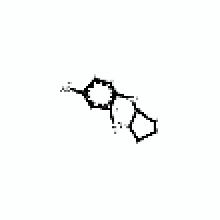 CC(=O)c1ccc(OC2CCCC2)c(C#N)c1